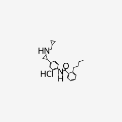 CCCCc1ccccc1C(=O)Nc1ccc(C2CC2NCC2CC2)cc1.Cl